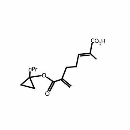 C=C(CCC=C(C)C(=O)O)C(=O)OC1(CCC)CC1